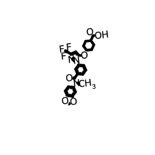 CN(C(=O)c1cccc(-n2nc(C(F)(F)F)cc2OC2CCC(C(=O)O)CC2)c1)c1ccc2c(c1)OCO2